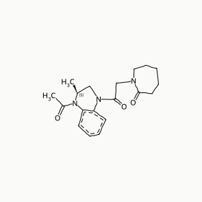 CC(=O)N1c2ccccc2N(C(=O)CN2CCCCCC2=O)C[C@@H]1C